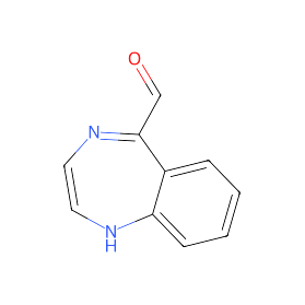 O=CC1=NC=CNc2ccccc21